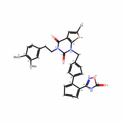 CCc1cc2c(=O)n(CCc3ccc(OC)c(OC)c3)c(=O)n(Cc3ccc(-c4ccccc4-c4noc(=O)[nH]4)cc3)c2s1